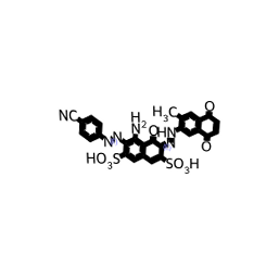 Cc1cc2c(cc1N/N=C1\C(=O)c3c(cc(S(=O)(=O)O)c(/N=N/c4ccc(C#N)cc4)c3N)C=C1S(=O)(=O)O)C(=O)C=CC2=O